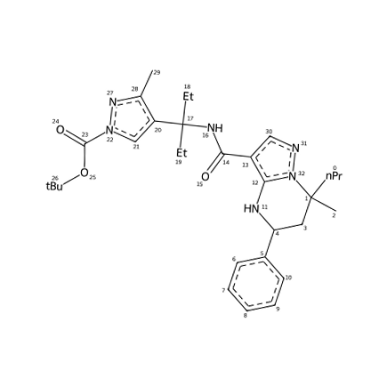 CCCC1(C)CC(c2ccccc2)Nc2c(C(=O)NC(CC)(CC)c3cn(C(=O)OC(C)(C)C)nc3C)cnn21